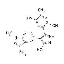 Cc1cc(O)c(-c2[nH]nc(O)c2-c2ccc3c(c2)c(C)cn3C)cc1C(C)C